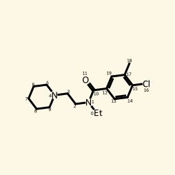 CCN(CCN1CCCCC1)C(=O)c1ccc(Cl)c(C)c1